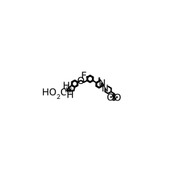 Cc1nc(N2CCC(CS(C)(=O)=O)CC2)ccc1-c1ccc(F)c(COc2ccc3c(c2)C[C@H]2[C@H](C(=O)O)[C@@H]32)c1